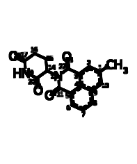 Cc1cc2c3c(cccc3c1)C(=O)N(C1CCC(=O)NC1=O)C2=O